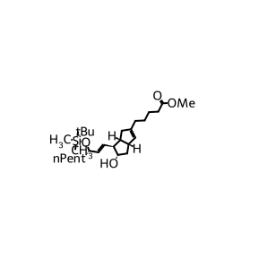 CCCCC[C@@H](/C=C/[C@H]1[C@@H]2CC(CCCCC(=O)OC)=C[C@@H]2C[C@@H]1O)O[Si](C)(C)C(C)(C)C